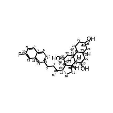 C[C@H](CCc1ncc2ccc(F)cc2n1)[C@H]1CC[C@H]2[C@@H]3[C@H](O)C[C@@H]4C[C@H](O)CC[C@]4(C)[C@H]3C[C@H](O)[C@]12C